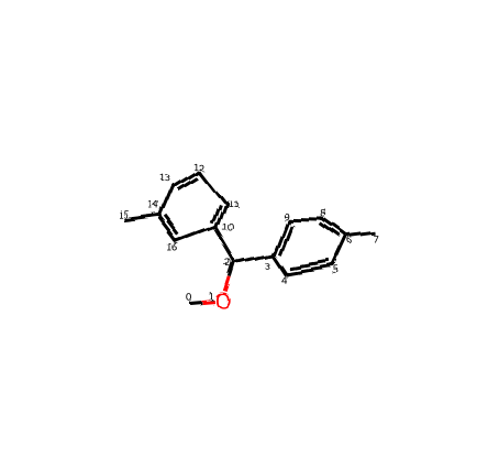 COC(c1ccc(C)cc1)c1cccc(C)c1